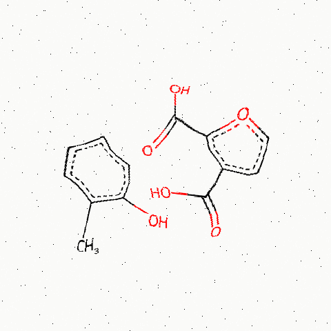 Cc1ccccc1O.O=C(O)c1ccoc1C(=O)O